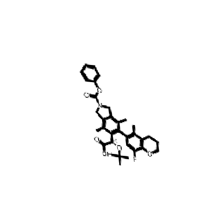 Cc1c(-c2c(C)c3c(c(C)c2[C@H](OC(C)(C)C)C(=O)O)CN(C(=O)Oc2ccccc2)C3)cc(F)c2c1CCCO2